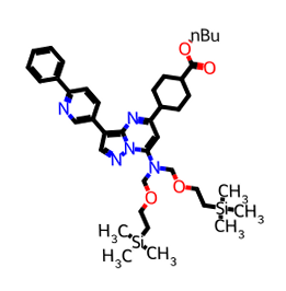 CCCCOC(=O)C1CCC(c2cc(N(COCC[Si](C)(C)C)COCC[Si](C)(C)C)n3ncc(-c4ccc(-c5ccccc5)nc4)c3n2)CC1